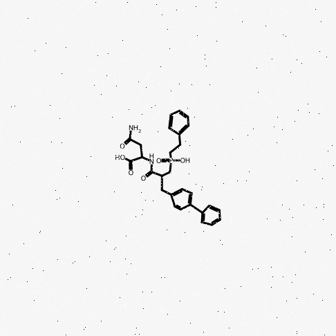 NC(=O)CC(NC(=O)C(Cc1ccc(-c2ccccc2)cc1)CP(=O)(O)CCc1ccccc1)C(=O)O